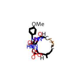 COc1ccc(C[C@H]2NC(=O)[C@H]3CSSCC/C=C(/C)[C@H](CC(=O)N[C@H](C(C)C)C(=O)N3)OC(=O)CNC2=O)cc1